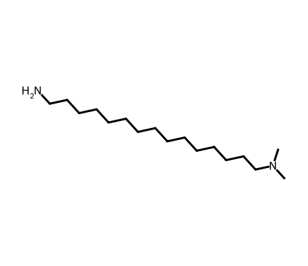 CN(C)CCCCCCCCCCCCCCCN